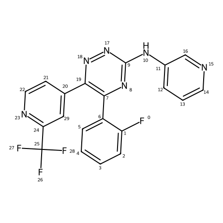 Fc1ccccc1-c1nc(Nc2cccnc2)nnc1-c1ccnc(C(F)(F)F)c1